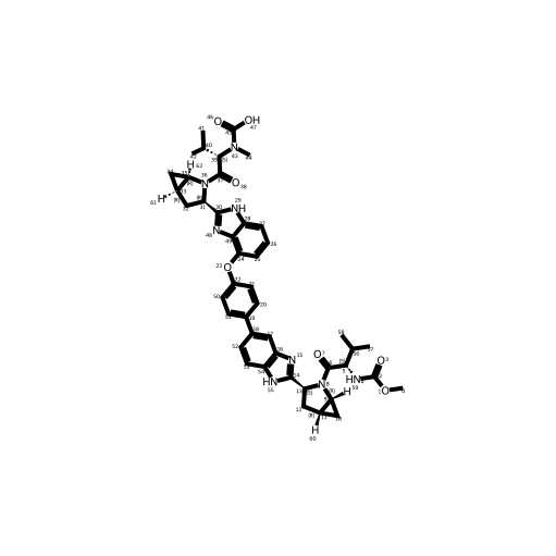 COC(=O)N[C@H](C(=O)N1[C@@H]2C[C@@H]2C[C@H]1c1nc2cc(-c3ccc(Oc4cccc5[nH]c([C@H]6C[C@H]7C[C@H]7N6C(=O)[C@H](C(C)C)N(C)C(=O)O)nc45)cc3)ccc2[nH]1)C(C)C